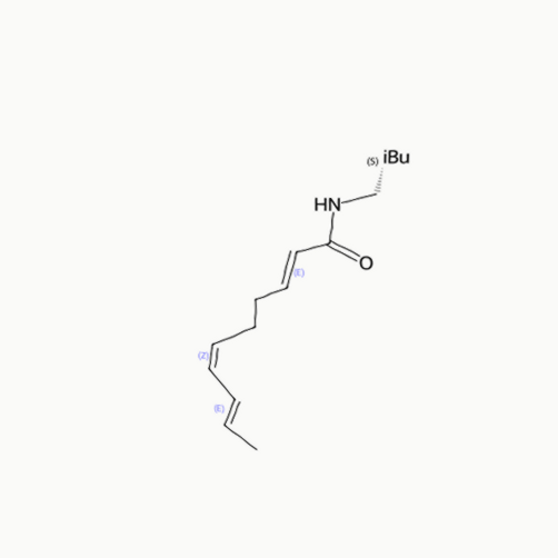 C/C=C/C=C\CC/C=C/C(=O)NC[C@@H](C)CC